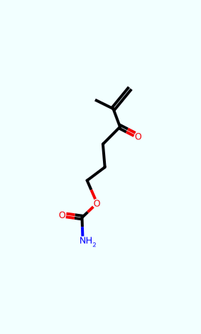 C=C(C)C(=O)CCCOC(N)=O